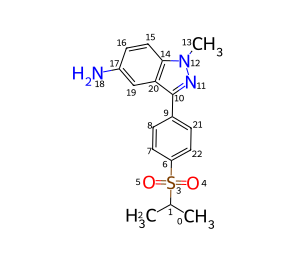 CC(C)S(=O)(=O)c1ccc(-c2nn(C)c3ccc(N)cc23)cc1